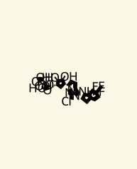 O=P(O)(O)CP(=O)(O)OC[C@H]1C[C@@H](c2ccc3c(N[C@H]4CCc5ccc(C(F)(F)F)cc54)nc(Cl)nn23)[C@H](O)[C@@H]1O